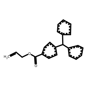 C=CCOC(=O)c1ccc([C](c2ccccc2)c2ccccc2)cc1